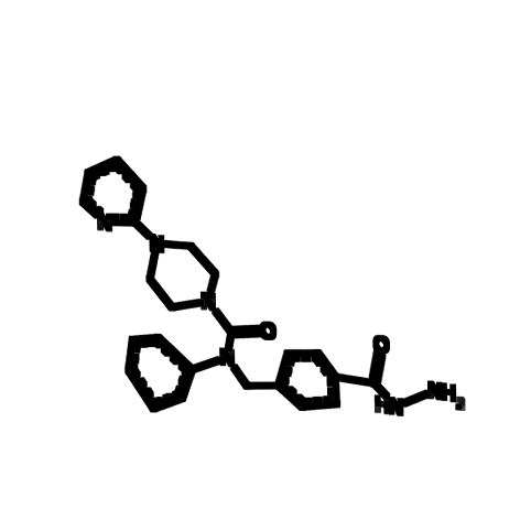 NNC(=O)c1ccc(CN(C(=O)N2CCN(c3ccccn3)CC2)c2ccccc2)cc1